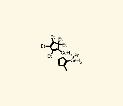 CC1=[C]([GeH2][CH](C)C)CC=C1.CCC1=[C]([GeH3])C(CC)(CC)C(CC)=C1CC